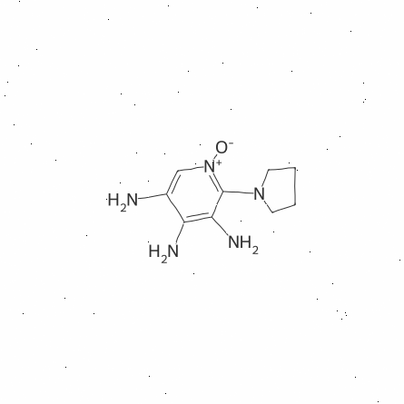 Nc1c[n+]([O-])c(N2CCCC2)c(N)c1N